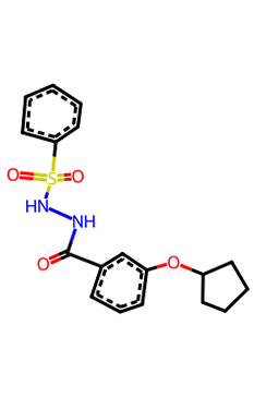 O=C(NNS(=O)(=O)c1ccccc1)c1cccc(OC2CCCC2)c1